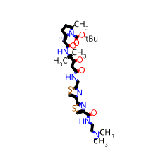 C[C@H]1CC/C(=C/C(=O)NC(C)(C)C(=O)CC(=O)NCc2nc(-c3nc(C(=O)NCCN(C)C)cs3)cs2)N1C(=O)OC(C)(C)C